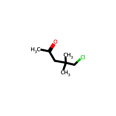 CC(=O)CC(C)(C)CCl